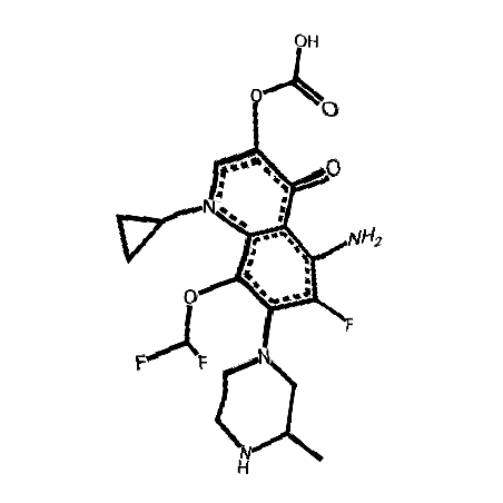 CC1CN(c2c(F)c(N)c3c(=O)c(OC(=O)O)cn(C4CC4)c3c2OC(F)F)CCN1